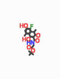 Cc1cc(O)c(F)c2c1C(O)=C(C(=O)NCC(=O)OC(C)(C)C)C(=O)C2C